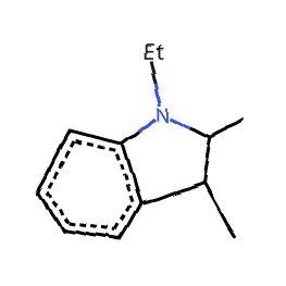 CCN1c2ccccc2C(C)C1C